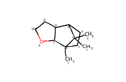 CC1(C)C2CCC1(C)C1O[CH]CC21